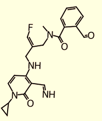 CN(C/C(=C\F)CNc1ccn(C2CC2)c(=O)c1C=N)C(=O)c1ccccc1C=O